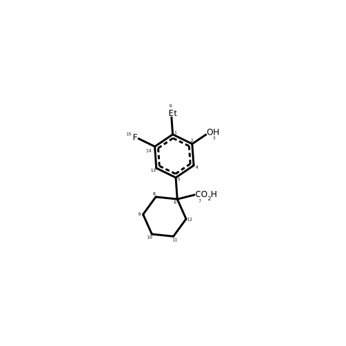 CCc1c(O)cc(C2(C(=O)O)CCCCC2)cc1F